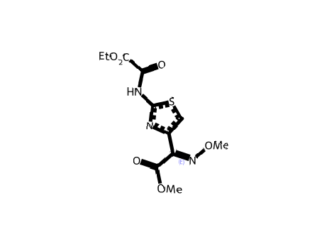 CCOC(=O)C(=O)Nc1nc(/C(=N\OC)C(=O)OC)cs1